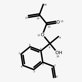 C=Cc1ccccc1C(C)(O)OC(=O)C(=C)C